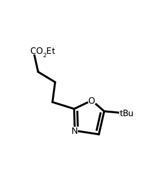 CCOC(=O)CCCc1ncc(C(C)(C)C)o1